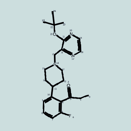 CCC(=O)c1c(F)cccc1C1CCN(Cc2nccnc2OC(C)(C)C)CC1